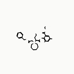 CCCC(C(=O)Nc1c(C)cc(C)cc1C(=O)OCC)[N+]1(CC(=O)OCc2ccccc2)CCCCCC1